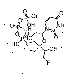 O=c1ccn([C@@H](CO)O[C@](CF)(COP(=O)(O)OP(=O)(O)OP(=O)(O)O)[C@@H](O)CF)c(=O)[nH]1